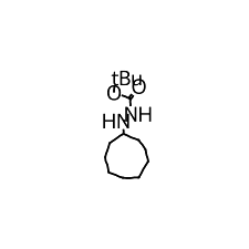 CC(C)(C)OC(=O)NNC1CCCCCCCC1